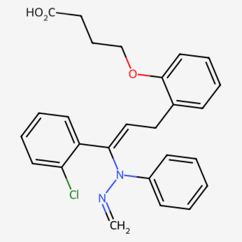 C=NN(/C(=C\Cc1ccccc1OCCCC(=O)O)c1ccccc1Cl)c1ccccc1